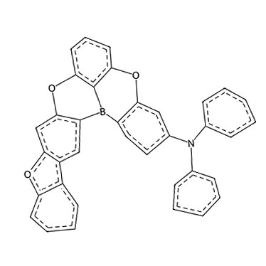 c1ccc(N(c2ccccc2)c2ccc3c(c2)Oc2cccc4c2B3c2cc3c(cc2O4)oc2ccccc23)cc1